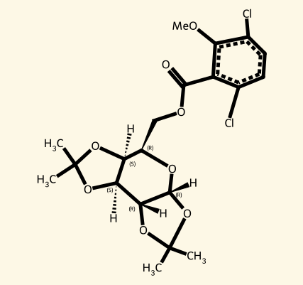 COc1c(Cl)ccc(Cl)c1C(=O)OC[C@H]1O[C@@H]2OC(C)(C)O[C@@H]2[C@H]2OC(C)(C)O[C@H]21